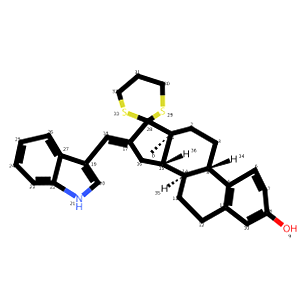 C[C@]12CC[C@@H]3c4ccc(O)cc4CC[C@H]3[C@@H]1C/C(=C\c1c[nH]c3ccccc13)C21SCCCS1